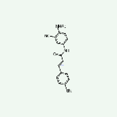 CC(=O)Nc1ccc(NC(=O)/C=C/c2ccc(C(C)(C)C)cc2)cc1C#N